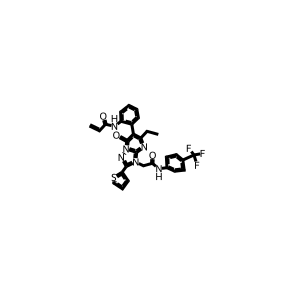 C=CC(=O)Nc1ccccc1-c1c(CC)nc2n(CC(=O)Nc3ccc(C(F)(F)F)cc3)c(-c3cccs3)nn2c1=O